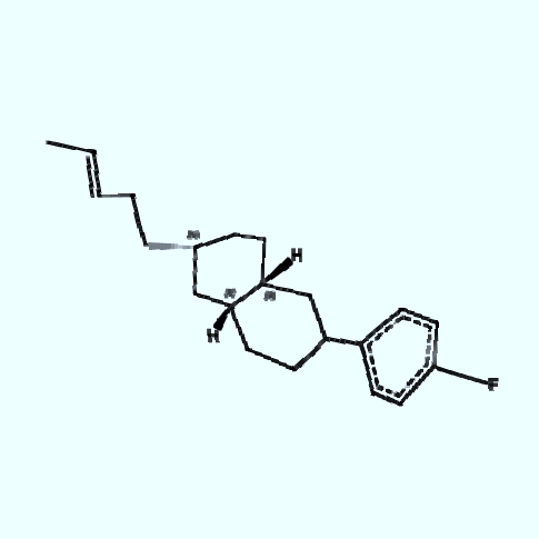 CC=CCC[C@@H]1CC[C@@H]2CC(c3ccc(F)cc3)CC[C@@H]2C1